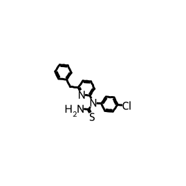 NC(=S)N(c1ccc(Cl)cc1)c1cccc(Cc2ccccc2)n1